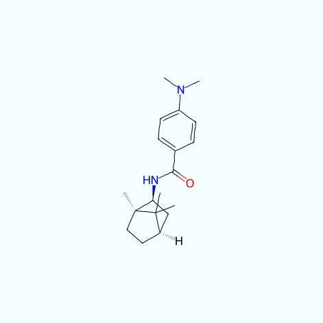 CN(C)c1ccc(C(=O)N[C@H]2C[C@H]3CC[C@]2(C)C3(C)C)cc1